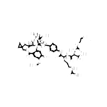 C=CCOC(=O)N[C@H](C(=O)N[C@@H](CCCNC(N)=O)C(=O)Nc1ccc(COC(=O)N2c3cc(O)c(OC)cc3C(=O)N3CC4(CC4)C[C@H]3C2O[Si](C)(C)C(C)(C)C)cc1)C(C)C